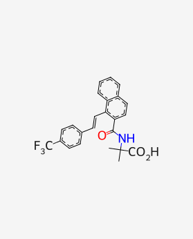 CC(C)(NC(=O)c1ccc2ccccc2c1/C=C/c1ccc(C(F)(F)F)cc1)C(=O)O